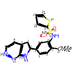 COc1ccc(-c2cc3ccnnc3[nH]2)cc1NS(=O)(=O)c1cccs1